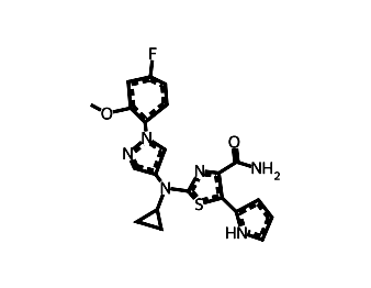 COc1cc(F)ccc1-n1cc(N(c2nc(C(N)=O)c(-c3ccc[nH]3)s2)C2CC2)cn1